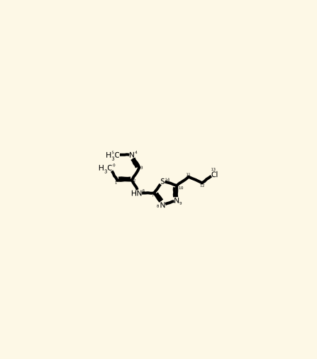 C/C=C(\C=N/C)Nc1nnc(CCCl)s1